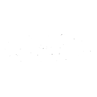 CC(COc1ccc(C2(C)Oc3cc(O)ccc3C3=C2c2ccc(O)cc2OC3)cc1)N1CCCCC1